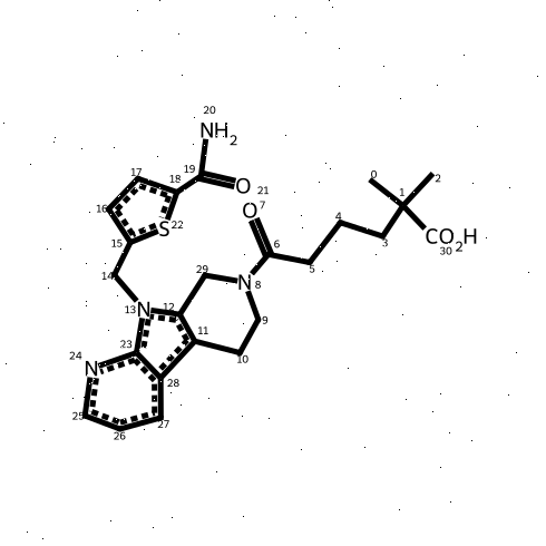 CC(C)(CCCC(=O)N1CCc2c(n(Cc3ccc(C(N)=O)s3)c3ncccc23)C1)C(=O)O